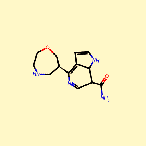 NC(=O)C1C=NC([C@H]2CNCCOC2)=C2C=CNC21